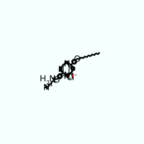 CCCCCCCCCCCCOc1ccc(C2=C3C=CC(=N3)C=C3C=CC(=N3)C(c3ccc(OC(C)(N)C(C)CCCC[N+](C)(C)C)cc3)=C3C=CC(=N3)C=C3C=CC2=N3)cc1.Cl.[Cl-]